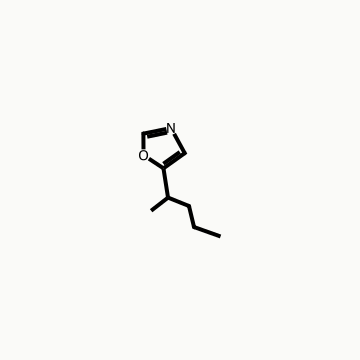 CCCC(C)c1cnco1